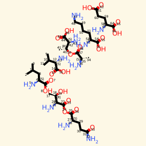 CC(C)C[C@H](N)C(=O)O.CC(C)[C@H](N)C(=O)O.C[C@@H](O)[C@H](N)C(=O)OC(=O)[C@@H](N)CCC(N)=O.C[C@H](N)C(=O)O[C@H](C)[C@H](N)C(=O)O.NCCCC[C@H](N)C(=O)O.N[C@@H](CCC(=O)O)C(=O)O